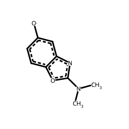 CN(C)c1nc2cc([O])ccc2o1